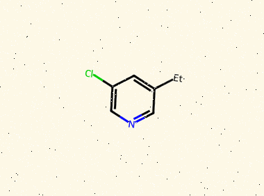 C[CH]c1cncc(Cl)c1